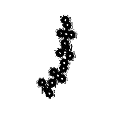 c1ccc(-c2nc3ccccc3n2-c2ccc(-c3c4ccccc4c(-c4ccc5cc(-c6cccc(-c7nc8cc(-c9c%10ccccc%10c(-c%10ccc%11ccccc%11c%10)c%10ccccc9%10)ccc8n7-c7ccccc7)c6)ccc5c4)c4ccccc34)cc2)cc1